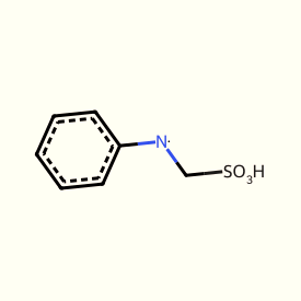 O=S(=O)(O)C[N]c1ccccc1